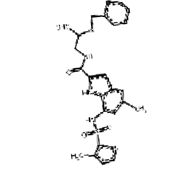 Cc1cc(NS(=O)(=O)c2sccc2C)c2[nH]c(C(=O)NCC(C=O)SCc3ccccc3)cc2c1